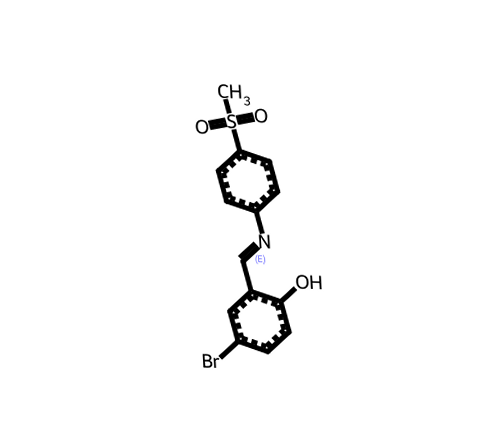 CS(=O)(=O)c1ccc(/N=C/c2cc(Br)ccc2O)cc1